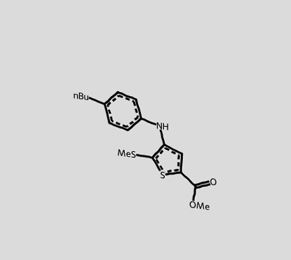 CCCCc1ccc(Nc2cc(C(=O)OC)sc2SC)cc1